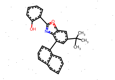 CC(C)(C)c1cc(-c2cccc3ccccc23)c2nc(-c3ccccc3O)oc2c1